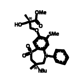 CCCC[C@@]1(C)CN(c2ccccc2)c2cc(SC)c(OC[C@](C)(O)C(=O)OC)cc2S(=O)(=O)C1